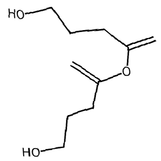 C=C(CCCO)OC(=C)CCCO